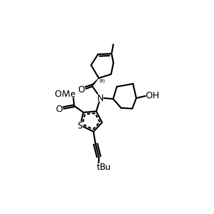 COC(=O)c1sc(C#CC(C)(C)C)cc1N(C(=O)[C@H]1CC=C(C)CC1)C1CCC(O)CC1